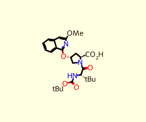 COc1cc2ccccc2c(O[C@@H]2C[C@@H](C(=O)O)N(C(=O)[C@@H](NC(=O)OC(C)(C)C)C(C)(C)C)C2)n1